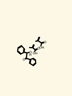 C=C(C)C(=O)O.C=C(C)C(=O)O.O=C(c1ccccc1)C(O)c1ccccc1